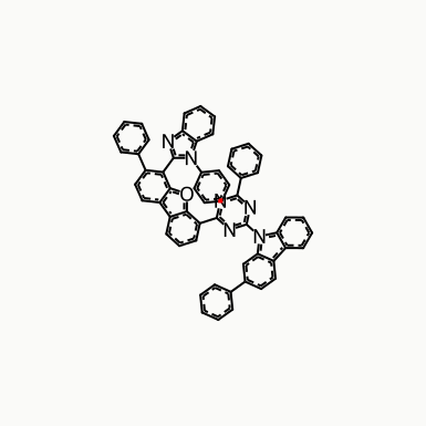 c1ccc(-c2ccc3c4ccccc4n(-c4nc(-c5ccccc5)nc(-c5cccc6c5oc5c(-c7nc8ccccc8n7-c7ccccc7)c(-c7ccccc7)ccc56)n4)c3c2)cc1